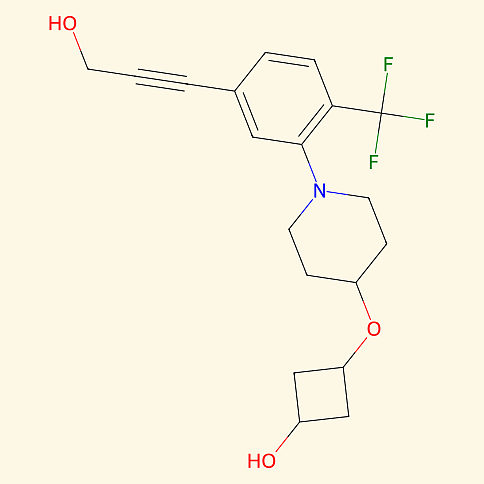 OCC#Cc1ccc(C(F)(F)F)c(N2CCC(OC3CC(O)C3)CC2)c1